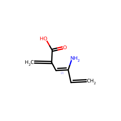 C=C/C(N)=C/C(=C)C(=O)O